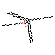 CCCCCCCCCCCCCC(CCCCCCCCCCCC)(CCCCCCCCCCCC)C(CCCCCCCCCCCC)(CCCCCCCCCCCC)C(=O)OCCCCCCCCCCCC